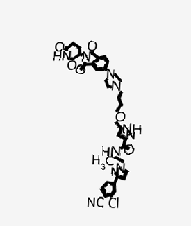 C[C@H](Cn1ccc(-c2ccc(C#N)c(Cl)c2)n1)NC(=O)c1cc(COCCCCN2CCN(c3ccc4c(c3)C(=O)N(C3CCC(=O)NC3=O)C4=O)CC2)[nH]n1